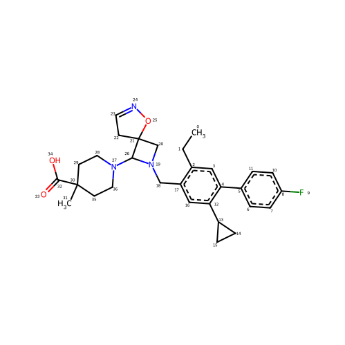 CCc1cc(-c2ccc(F)cc2)c(C2CC2)cc1CN1CC2(CC=NO2)C1N1CCC(C)(C(=O)O)CC1